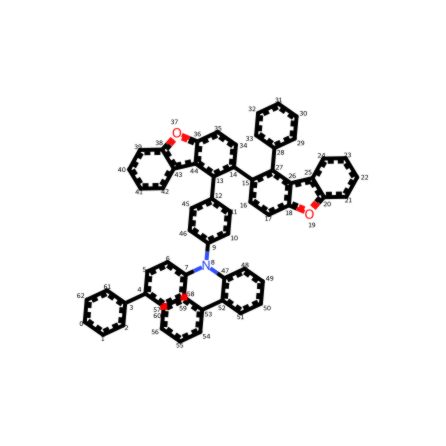 c1ccc(-c2ccc(N(c3ccc(-c4c(-c5ccc6oc7ccccc7c6c5-c5ccccc5)ccc5oc6ccccc6c45)cc3)c3ccccc3-c3ccccc3)cc2)cc1